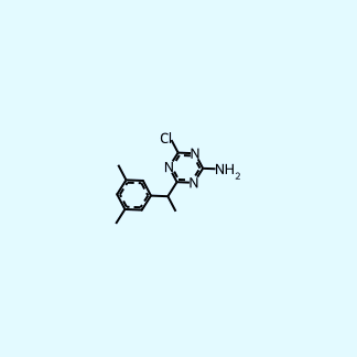 Cc1cc(C)cc(C(C)c2nc(N)nc(Cl)n2)c1